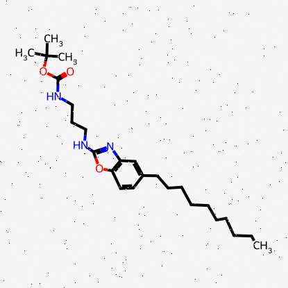 CCCCCCCCCCc1ccc2oc(NCCCNC(=O)OC(C)(C)C)nc2c1